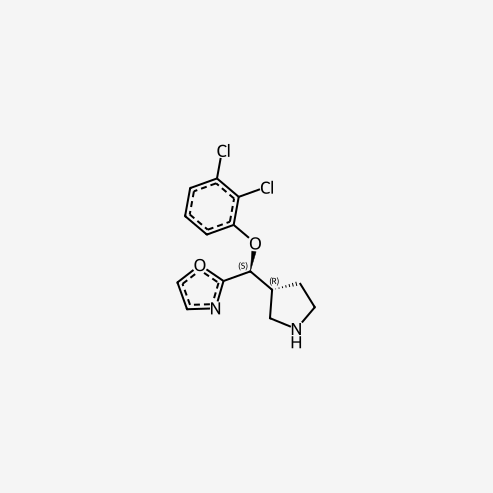 Clc1cccc(O[C@H](c2ncco2)[C@@H]2CCNC2)c1Cl